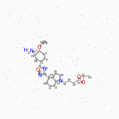 CC(C)Oc1ccc(-c2nc(-c3cccc4c3ccn4CCCC3OC(C)O3)no2)cc1N